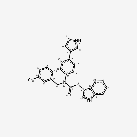 O=C(Cn1nnc2ccccc21)N(Cc1cccc(Cl)c1)c1ccc(-c2cn[nH]c2)nc1